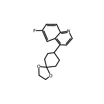 Fc1ccc2nccc(C3CCC4(CC3)OCCO4)c2c1